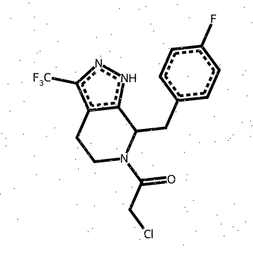 O=C(CCl)N1CCc2c(C(F)(F)F)n[nH]c2C1Cc1ccc(F)cc1